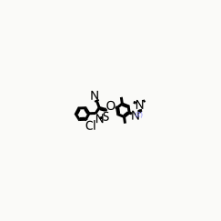 Cc1cc(Oc2snc(-c3ccccc3Cl)c2C#N)c(C)cc1/N=C\N(C)C